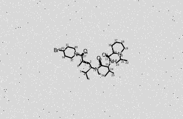 C/C(=C\[C@H](C(C)C)N(C)C(=O)[C@@H](NC(=O)C1CCCCN1C(C)C)C(C)C)C(=O)N1CCC(Br)CC1